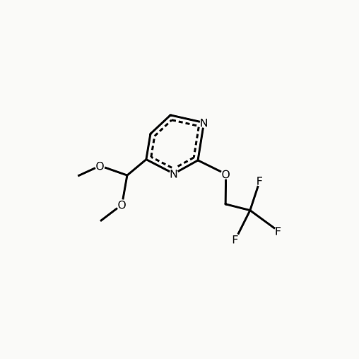 COC(OC)c1ccnc(OCC(F)(F)F)n1